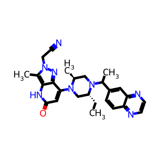 CC[C@@H]1CN(c2cc(=O)[nH]c3c(C)n(CC#N)nc23)[C@@H](C)CN1C(C)c1ccc2nccnc2c1